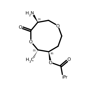 CC(C)C(=O)O[C@@H]1CCOC[C@H](N)C(=O)O[C@H]1C